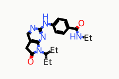 CCNC(=O)c1ccc(Nc2ncc3c(n2)N(C(CC)CC)C(=O)C3)cc1